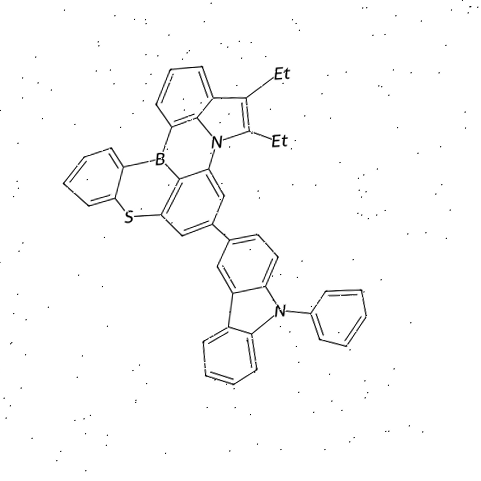 CCc1c(CC)n2c3c(cccc13)B1c3ccccc3Sc3cc(-c4ccc5c(c4)c4ccccc4n5-c4ccccc4)cc-2c31